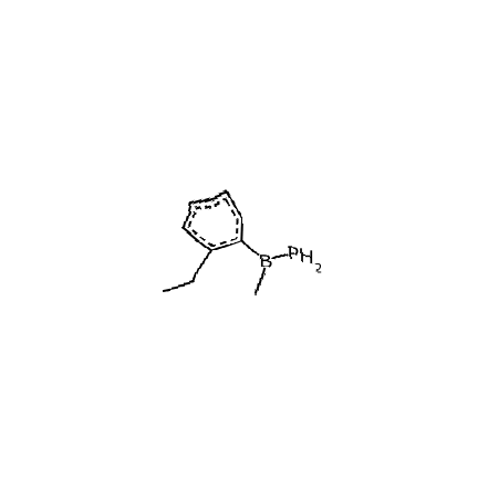 CCc1ccccc1B(C)P